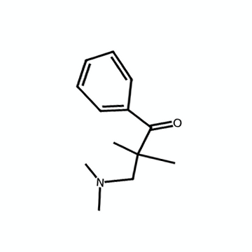 CN(C)CC(C)(C)C(=O)c1ccccc1